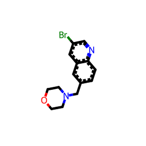 Brc1cnc2ccc(CN3CCOCC3)cc2c1